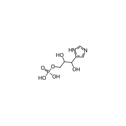 O=P(O)(O)OCC(O)C(O)c1cnc[nH]1